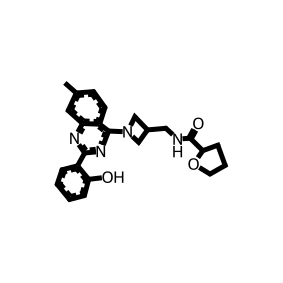 Cc1ccc2c(N3CC(CNC(=O)C4CCCO4)C3)nc(-c3ccccc3O)nc2c1